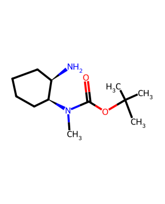 CN(C(=O)OC(C)(C)C)[C@H]1CCCC[C@H]1N